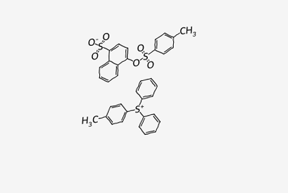 Cc1ccc(S(=O)(=O)Oc2ccc(S(=O)(=O)[O-])c3ccccc23)cc1.Cc1ccc([S+](c2ccccc2)c2ccccc2)cc1